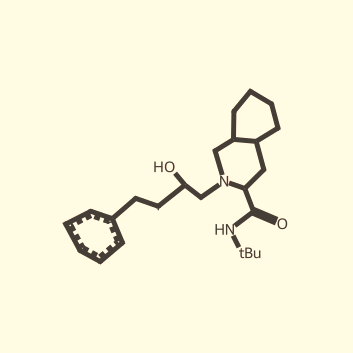 CC(C)(C)NC(=O)C1CC2CCCCC2CN1CC(O)[CH]Cc1ccccc1